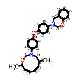 CC1/C=C\C=C/C(C)OCN(c2ccc(Oc3ccc(N4COc5ccccc5C4)cc3)cc2)C1